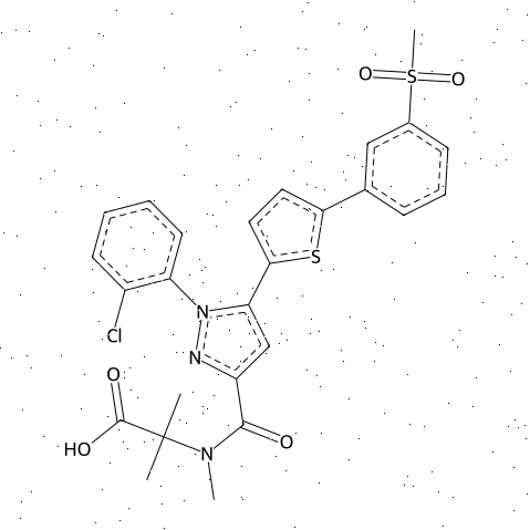 CN(C(=O)c1cc(-c2ccc(-c3cccc(S(C)(=O)=O)c3)s2)n(-c2ccccc2Cl)n1)C(C)(C)C(=O)O